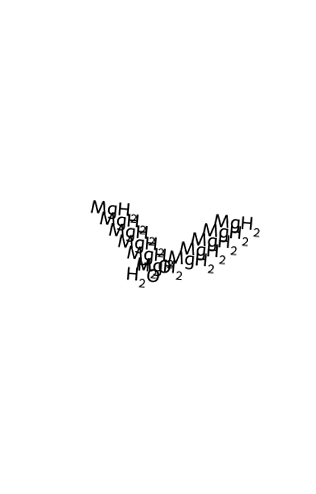 O.O.[MgH2].[MgH2].[MgH2].[MgH2].[MgH2].[MgH2].[MgH2].[MgH2].[MgH2].[MgH2].[MgH2]